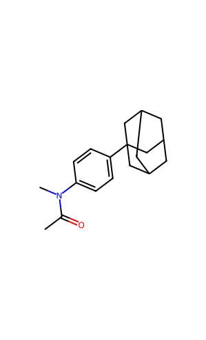 CC(=O)N(C)c1ccc(C23CC4CC(CC(C4)C2)C3)cc1